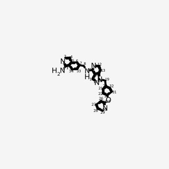 Nc1nccc2cc(CNc3nccc4c3cnn4Cc3ccc(Oc4ccccn4)cc3)ccc12